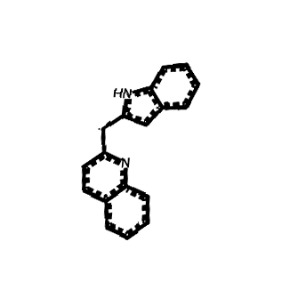 [CH](c1ccc2ccccc2n1)c1cc2ccccc2[nH]1